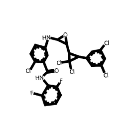 O=C(Nc1c(F)cccc1F)c1cc(NC2OC2C2C(c3cc(Cl)cc(Cl)c3)C2(Cl)Cl)ccc1Cl